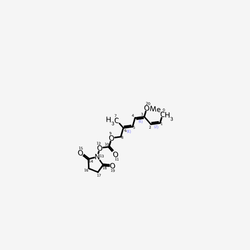 C\C=C/C(=C\C=C(/C)COC(=O)ON1C(=O)CCC1=O)OC